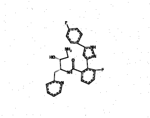 NC[C@@H](O)[C@@H](Cc1ccccn1)NC(=O)c1cccc(F)c1-c1cc(-c2ccc(F)cc2)[nH]n1